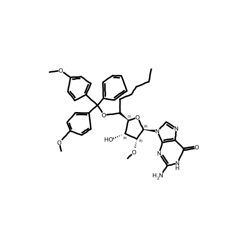 CCCCCC(OC(c1ccccc1)(c1ccc(OC)cc1)c1ccc(OC)cc1)[C@H]1O[C@@H](n2cnc3c(=O)[nH]c(N)nc32)[C@H](OC)[C@@H]1O